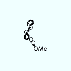 COCCOCOc1cccc(OCCOc2ccccn2)c1